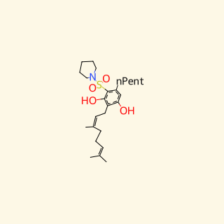 CCCCCc1cc(O)c(CC=C(C)CCC=C(C)C)c(O)c1S(=O)(=O)N1CCCCC1